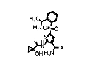 CC(C)c1ccccc1S(=O)(=O)c1cc(C(N)=O)c(NC(=O)C2(O)CC2)s1